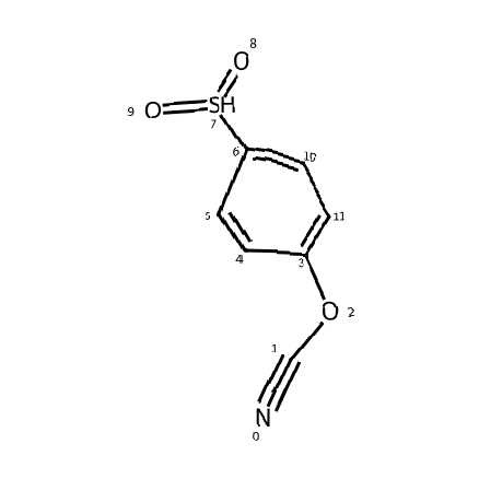 N#COc1ccc([SH](=O)=O)cc1